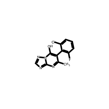 Cc1nc2ncnn2c(O)c1-c1c(F)cccc1Cl